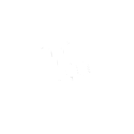 O=C1Nc2ccccc2O/C1=C\c1cc(Br)cc(Br)c1